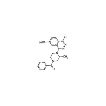 CC1CN(C(=O)c2ccccc2)CCN1c1nnc(Cl)c2ccc(C#N)cc12